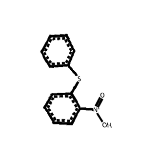 O=[N+](O)c1ccccc1Sc1ccccc1